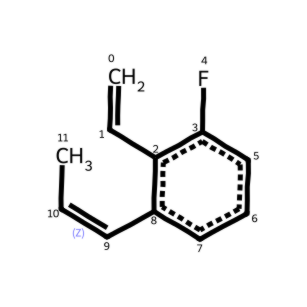 C=Cc1c(F)cccc1/C=C\C